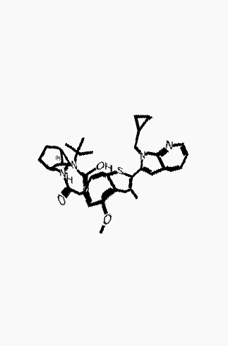 COc1cc(C(=O)N2CC3CCC2[C@@H]3N(C(=O)O)C(C)(C)C)cc2sc(-c3cc4cccnc4n3CC3CC3)c(C)c12